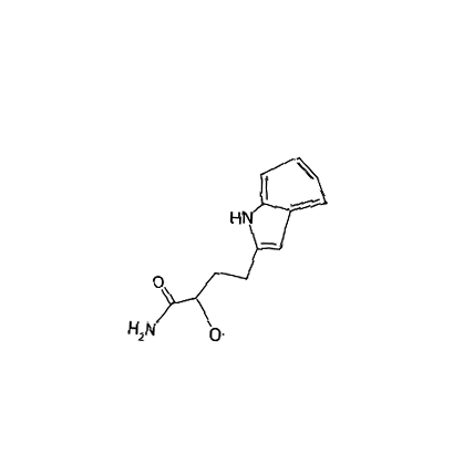 NC(=O)C([O])CCc1cc2ccccc2[nH]1